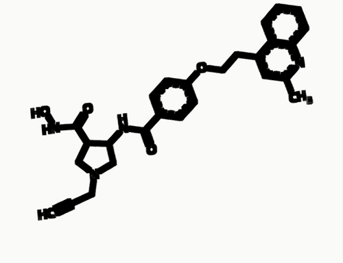 C#CCN1CC(NC(=O)c2ccc(OCCc3cc(C)nc4ccccc34)cc2)C(C(=O)NO)C1